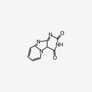 O=C1N=C2N=C3C=CC=CN3C2C(=O)N1